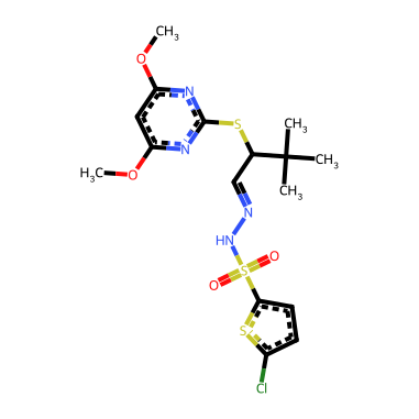 COc1cc(OC)nc(SC(/C=N/NS(=O)(=O)c2ccc(Cl)s2)C(C)(C)C)n1